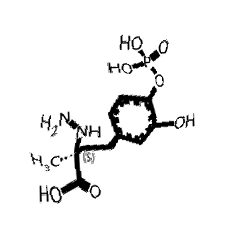 C[C@@](Cc1ccc(OP(=O)(O)O)c(O)c1)(NN)C(=O)O